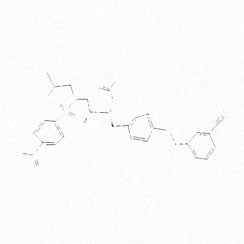 CC(C)CN(C[C@H](O)[C@H](Cc1ccc(OCc2cccc(C#N)c2)cc1)NC(=O)O)S(=O)(=O)c1ccc([N+](=O)[O-])cc1